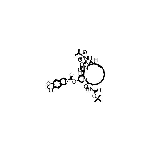 CC(C)S(=O)(=O)NC(=O)[C@@]12C[C@H]1/C=C\CCCCC[C@H](NC(=O)OC(C)(C)C)C(=O)N1C[C@H](OC(=O)N3Cc4cc5c(cc4C3)OCO5)C[C@H]1C(=O)N2